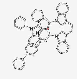 c1ccc(-c2ccc(-c3nc(-c4ccccc4)nc(-n4c5ccccc5c5ccc6c7ccccc7n(-c7ccc8c(c7)c7ccccc7n8-c7ccccc7)c6c54)n3)cc2)cc1